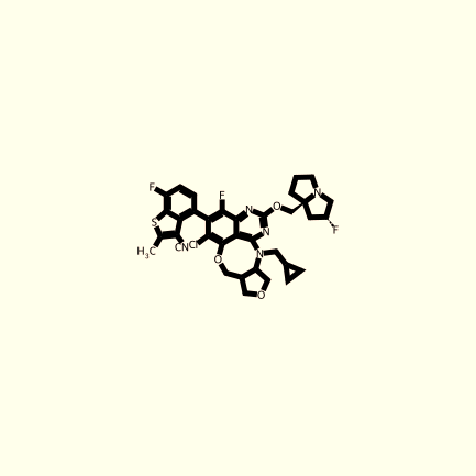 Cc1sc2c(F)ccc(-c3c(Cl)c4c5c(nc(OC[C@@]67CCCN6C[C@H](F)C7)nc5c3F)N(CC3CC3)C3COCC3CO4)c2c1C#N